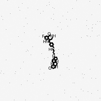 C[C@]12CC(=O)CC[C@@H]1CC[C@@H]1[C@@H]2CC[C@]2(C)[C@@H](OCCCNCc3ccc(-c4[nH]c5cc(F)cc6c5c4CCNC6=O)cc3)CC[C@@H]12